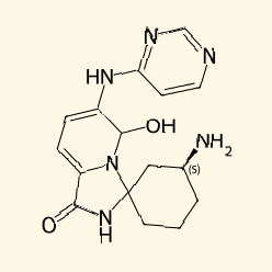 N[C@H]1CCCC2(C1)NC(=O)C1=CC=C(Nc3ccncn3)C(O)N12